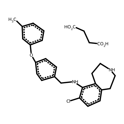 Cc1cccc(Oc2ccc(CNc3c(Cl)ccc4c3CCNCC4)cc2)c1.O=C(O)CCC(=O)O